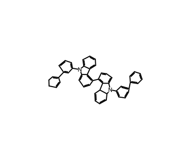 C1=CC2c3c(-c4cccc5c4c4ccccc4n5-c4cccc(C5=CCCC=C5)c4)cccc3N(c3cccc(-c4ccccc4)c3)C2C=C1